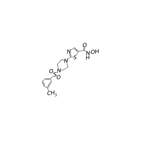 Cc1cccc(S(=O)(=O)N2CCN(c3ncc(C(=O)NO)s3)CC2)c1